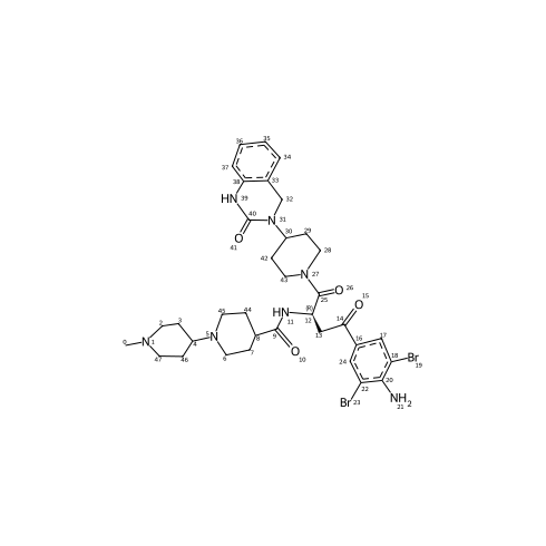 CN1CCC(N2CCC(C(=O)N[C@H](CC(=O)c3cc(Br)c(N)c(Br)c3)C(=O)N3CCC(N4Cc5ccccc5NC4=O)CC3)CC2)CC1